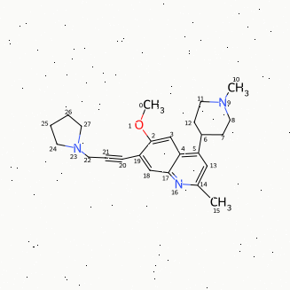 COc1cc2c(C3CCN(C)CC3)cc(C)nc2cc1C#CCN1CCCC1